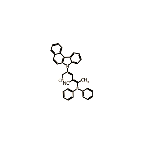 C/C(=C(C#N)\C=C(/CC#N)n1c2ccccc2c2c3ccccc3ccc21)N(c1ccccc1)c1ccccc1